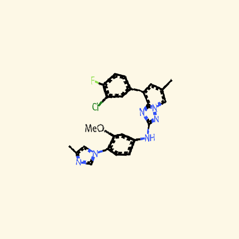 COc1cc(Nc2nc3c(-c4ccc(F)c(Cl)c4)cc(C)cn3n2)ccc1-n1cnc(C)c1